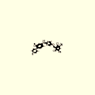 COc1cc(Nc2ncc(OCc3c(Cl)c(OC)cc(OC)c3Cl)cn2)ccc1N1CCN(C)CC1